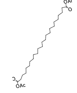 CC(=O)OC(=O)CCCCCCCCCCCCCCCCCCCCCCC(=O)OC(C)=O